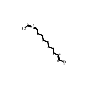 CCC=C=CCCCCCCCC=CCC